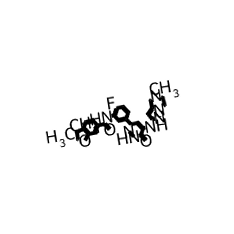 CN1CCn2nc(Nc3cc(-c4ccc(F)c(NC(=O)c5ccc6c(c5)OCC6(C)C)c4)n[nH]c3=O)cc2C1